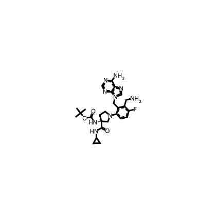 CC(C)(C)OC(=O)N[C@]1(C(=O)NC2CC2)CCN(c2ccc(F)c(CN)c2Cn2cnc3c(N)ncnc32)C1